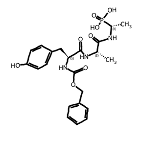 C[C@H](NC(=O)[C@H](Cc1ccc(O)cc1)NC(=O)OCc1ccccc1)C(=O)N[C@@H](C)P(=O)(O)O